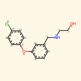 OCCNCc1cccc(Oc2ccc(Cl)cc2)c1